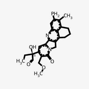 CC[C@@](O)(C=O)c1cc2n(c(=O)c1COC)Cc1c-2nc2cc(P)c(C)c3c2c1CCC3